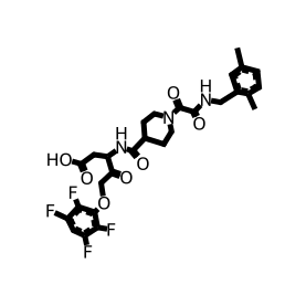 Cc1ccc(C)c(CNC(=O)C(=O)N2CCC(C(=O)NC(CC(=O)O)C(=O)COc3c(F)c(F)cc(F)c3F)CC2)c1